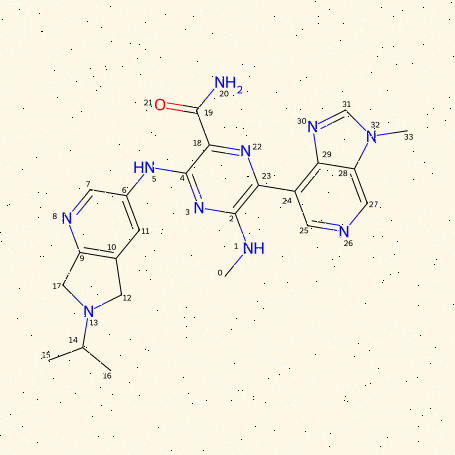 CNc1nc(Nc2cnc3c(c2)CN(C(C)C)C3)c(C(N)=O)nc1-c1cncc2c1ncn2C